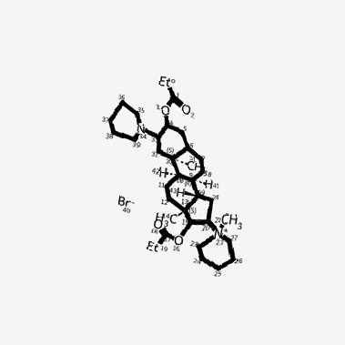 CCC(=O)OC1CC2CC[C@@H]3[C@@H](CC[C@]4(C)C(OC(=O)CC)C([N+]5(C)CCCCC5)C[C@@H]34)[C@@]2(C)CC1N1CCCCC1.[Br-]